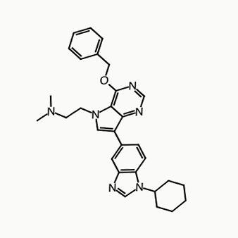 CN(C)CCn1cc(-c2ccc3c(c2)ncn3C2CCCCC2)c2ncnc(OCc3ccccc3)c21